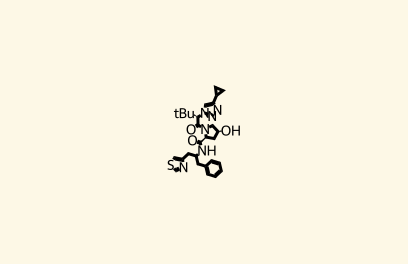 CC(C)(C)[C@@H](C(=O)N1C[C@H](O)C[C@H]1C(=O)NC(Cc1ccccc1)Cc1cscn1)n1cc(C2CC2)nn1